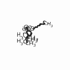 CCCCCCCCOc1ccc(C(C)(C)CC(C)(C)C)cc1S([O])(=O)=O